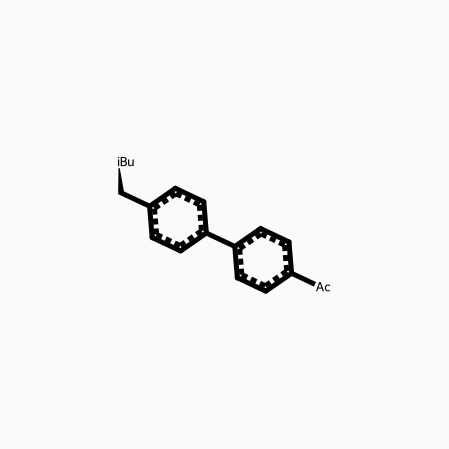 CC[C@H](C)Cc1ccc(-c2ccc(C(C)=O)cc2)cc1